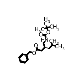 CC(C)C[C@H](CNC(=O)OC(C)(C)C)CC(=O)OCc1ccccc1